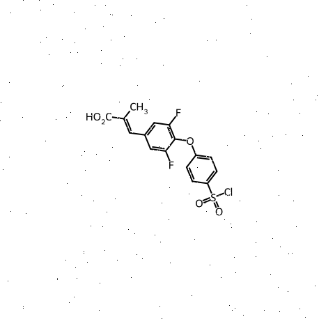 CC(=Cc1cc(F)c(Oc2ccc(S(=O)(=O)Cl)cc2)c(F)c1)C(=O)O